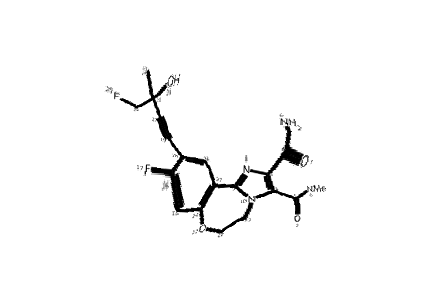 CNC(=O)c1c(C(N)=O)nc2n1CCOc1cc(F)c(C#CC(C)(O)CF)cc1-2